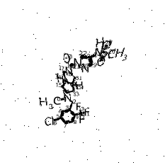 CN(Cc1cc(Cl)ccc1C(F)(F)F)[C@H]1C[C@@H]2CN(C(=O)n3cc(NS(C)(=O)=O)cn3)C[C@@H]2C1